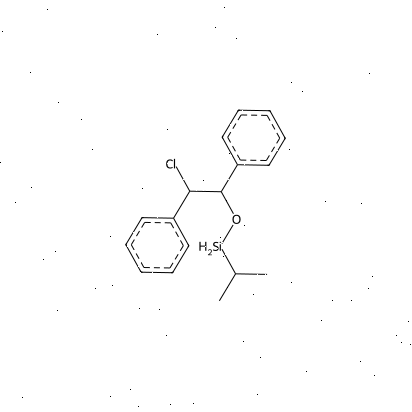 CC(C)[SiH2]OC(c1ccccc1)C(Cl)c1ccccc1